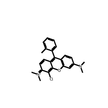 Cc1ccccc1-c1c2ccc(=[N+](C)C)c(Cl)c-2oc2cc(N(C)C)ccc12